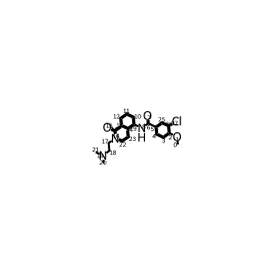 COc1ccc(C(=O)Nc2cccc3c(=O)n(CCN(C)C)ccc23)cc1Cl